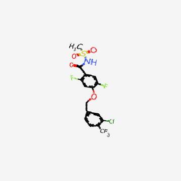 CS(=O)(=O)NC(=O)c1cc(F)c(OCc2ccc(C(F)(F)F)c(Cl)c2)cc1F